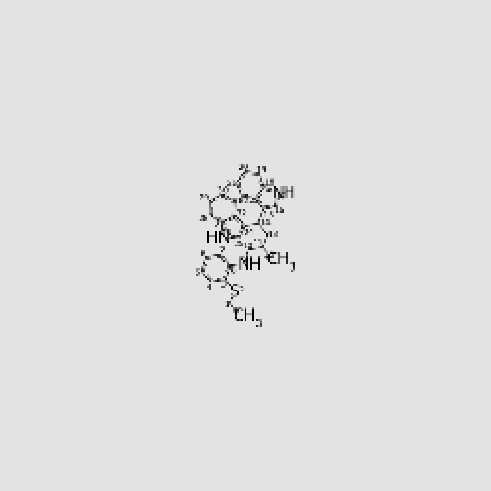 CCSc1ccccc1NCC(C)CC(c1c[nH]c2ccccc12)c1c[nH]c2ccccc12